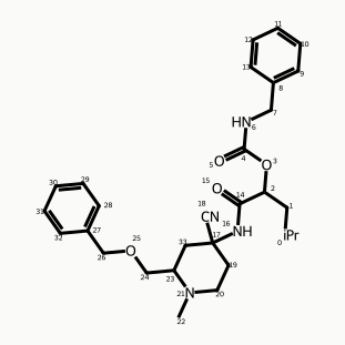 CC(C)CC(OC(=O)NCc1ccccc1)C(=O)NC1(C#N)CCN(C)C(COCc2ccccc2)C1